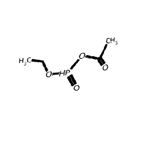 CCO[PH](=O)OC(C)=O